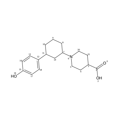 O=C(O)C1CCN(C2CCCC(c3ccc(O)cc3)C2)CC1